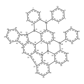 c1ccc(N2c3ccccc3B3c4c2cc2c5c4-c4c6c(cc7c8cccc9c8n(c47)B5c4c-9cccc4N2c2ccccc2)c2ccccc2n63)cc1